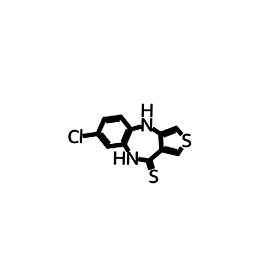 S=C1Nc2cc(Cl)ccc2Nc2cscc21